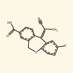 CC(C#N)=C1c2ccc(C(=O)O)cc2COc2ccc(F)cc21